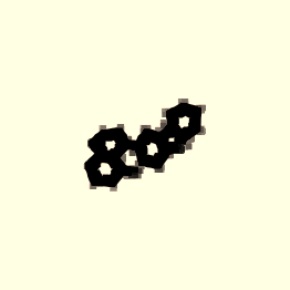 Brc1cccc2cccc(-c3ccc4sc5ccccc5c4c3)c12